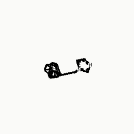 c1cn(C[C]23[CH]4[CH]5[CH]6[CH]2[Fe]56432789[CH]3[CH]2[CH]7[CH]8[CH]39)cn1